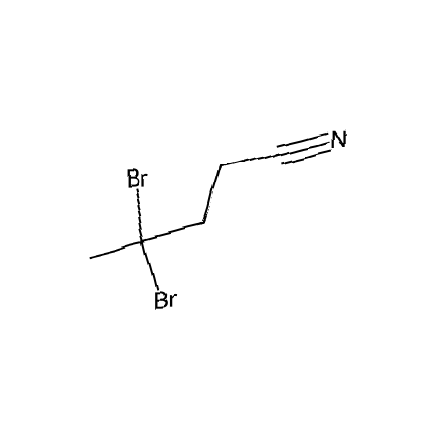 CC(Br)(Br)CCC#N